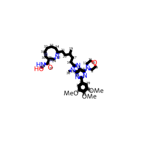 COc1cc(-c2nc(N3CCOCC3)c3nc(CCC(C)CC/C4=N/C=C(C(=O)NO)\C=C/CCC4)n(C)c3n2)cc(OC)c1OC